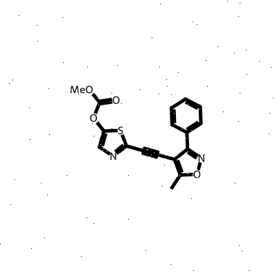 COC(=O)Oc1cnc(C#Cc2c(-c3ccccc3)noc2C)s1